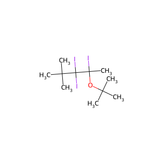 CC(C)(C)OC(C)(I)C(I)(I)C(C)(C)C